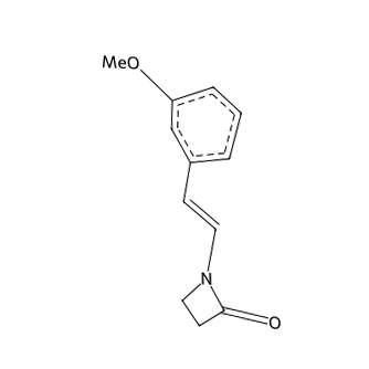 COc1cccc(/C=C/N2CCC2=O)c1